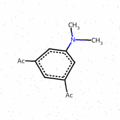 CC(=O)c1cc(C(C)=O)cc(N(C)C)c1